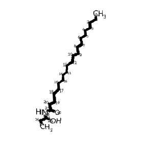 CCCCCCCCCCCCCCCCCCCCCC(=O)NC(O)CC